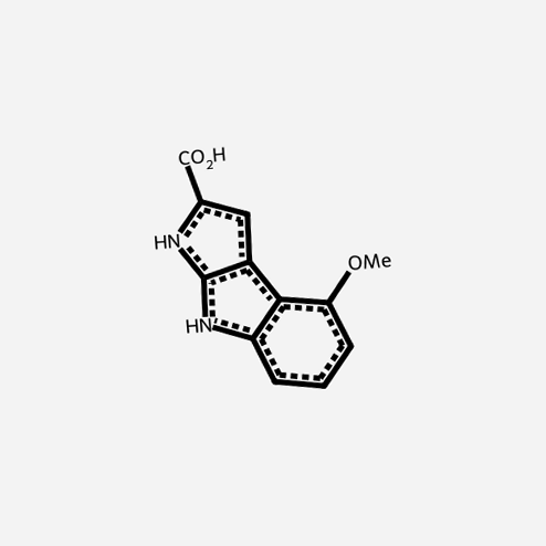 COc1cccc2[nH]c3[nH]c(C(=O)O)cc3c12